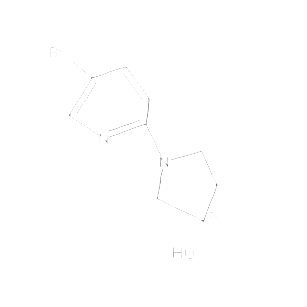 O[C@H]1[CH]CN(c2ccc(Br)cn2)C1